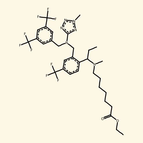 CCOC(=O)CCCCCCN(C)C(CC)c1ccc(C(F)(F)F)cc1CN(Cc1cc(C(F)(F)F)cc(C(F)(F)F)c1)c1nnn(C)n1